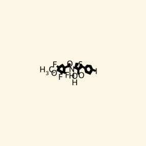 COc1c(F)cc(C(=O)Nc2csc(-c3ccc(I)cc3)c2C(=O)O)c(F)c1F